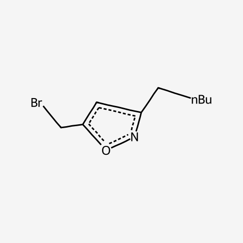 CCCCCc1cc(CBr)on1